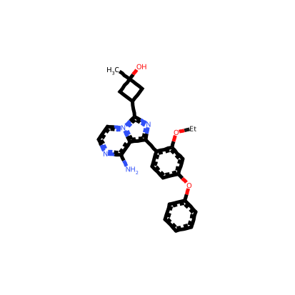 CCOc1cc(Oc2ccccc2)ccc1-c1nc(C2CC(C)(O)C2)n2ccnc(N)c12